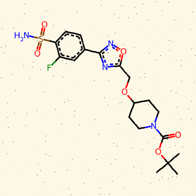 CC(C)(C)OC(=O)N1CCC(OCc2nc(-c3ccc(S(N)(=O)=O)c(F)c3)no2)CC1